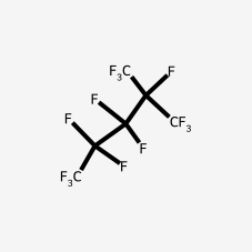 FC(F)(F)C(F)(F)C(F)(F)C(F)(C(F)(F)F)C(F)(F)F